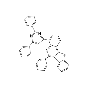 c1ccc(-c2cc(-c3cccc4c3nc(-c3ccccc3)c3c5ccccc5sc43)nc(-c3ccccc3)n2)cc1